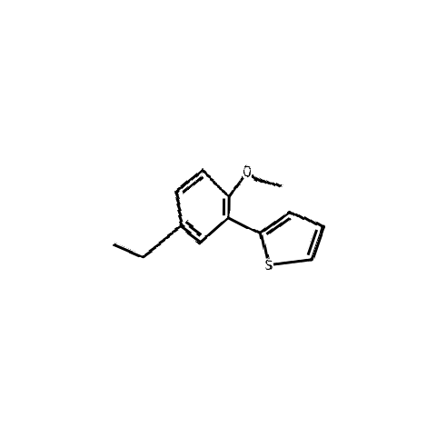 CCc1ccc(OC)c(-c2cccs2)c1